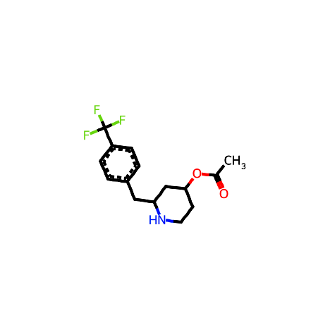 CC(=O)OC1CCNC(Cc2ccc(C(F)(F)F)cc2)C1